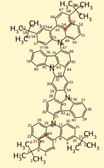 CC(C)(C)c1ccc(-c2cc(C(C)(C)C)ccc2N(c2ccccc2)c2ccc3c4cc5c(cc4n4c6ccccc6c2c34)c2ccc(N(c3ccccc3)c3ccc(C(C)(C)C)cc3-c3ccc(C(C)(C)C)cc3)c3c4ccccc4n5c23)cc1